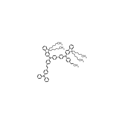 C/C=C/c1ccc(N(c2ccc(-c3ccc(N(c4ccc(/C=C/c5ccc(N(c6ccccc6)c6ccccc6)cc5)cc4)c4ccc5c(c4)C(CCCCCC)(CCCCCC)c4ccccc4-5)cc3)cc2)c2ccc3c(c2)C(CCCCCC)(CCCCCC)c2ccccc2-3)cc1